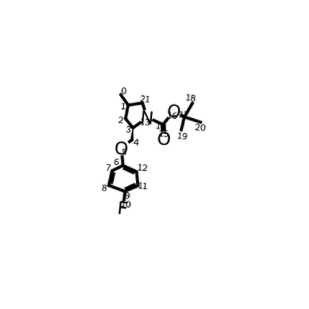 CC1C[C@H](COc2ccc(F)cc2)N(C(=O)OC(C)(C)C)C1